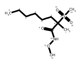 CCCCCCC(C)(C(=O)NOO)S(C)(=O)=O